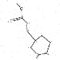 COC(=O)/C=C/C1CCCOC1